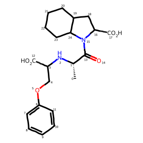 C[C@H](NC(COc1ccccc1)C(=O)O)C(=O)N1C(C(=O)O)CC2CCCCC21